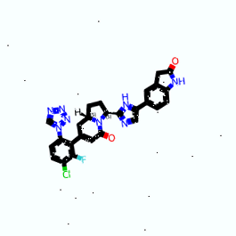 O=C1Cc2cc(-c3cnc([C@@H]4CC[C@H]5CC(c6c(-n7cnnn7)ccc(Cl)c6F)=CC(=O)N54)[nH]3)ccc2N1